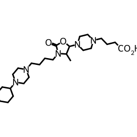 CC1C(N2CCN(CCCC(=O)O)CC2)OC(=O)N1CCCCN1CCN(C2CCCCC2)CC1